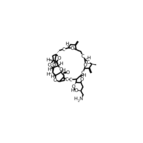 C=C1C[C@@H]2CC[C@@]34C[C@H]5O[C@H]6[C@@H](O3)[C@H]3OC(CC[C@@H]3O[C@H]6[C@H]5O4)[C@@H](C=O)CCC3[C@@H](OC)C(C[C@H](O)CN)O[C@H]3CC3O[C@@H](CCC1O2)C[C@@H](C)C3=C